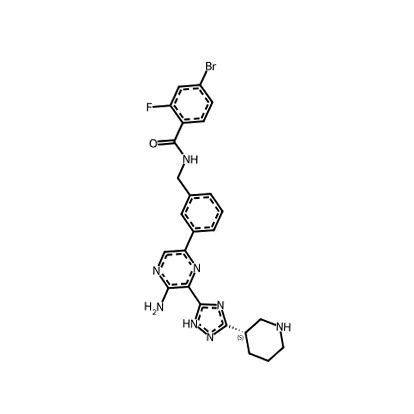 Nc1ncc(-c2cccc(CNC(=O)c3ccc(Br)cc3F)c2)nc1-c1nc([C@H]2CCCNC2)n[nH]1